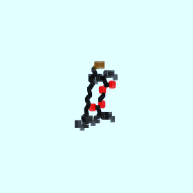 C=C(C)C(=O)OCCOC(=O)C(=C)C.CCCCCCCCCCCCS